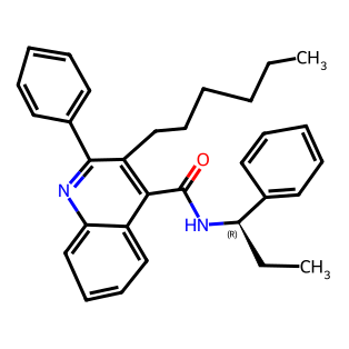 CCCCCCc1c(-c2ccccc2)nc2ccccc2c1C(=O)N[C@H](CC)c1ccccc1